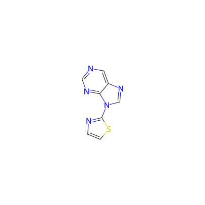 c1csc(-n2cnc3cncnc32)n1